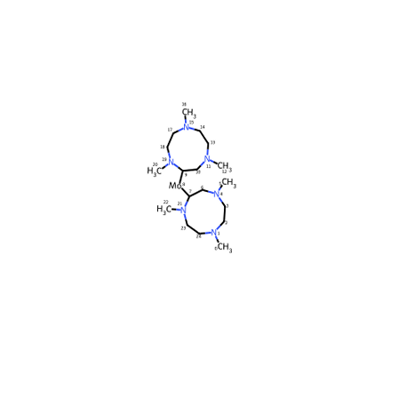 CN1CCN(C)C[CH]([Mo][CH]2CN(C)CCN(C)CCN2C)N(C)CC1